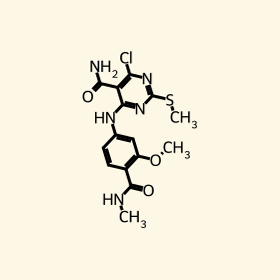 CNC(=O)c1ccc(Nc2nc(SC)nc(Cl)c2C(N)=O)cc1OC